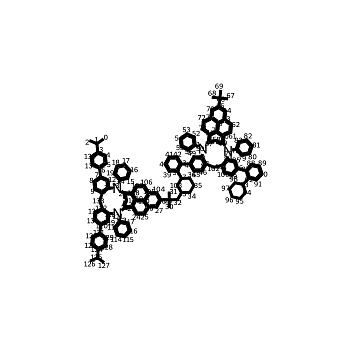 CC(C)c1ccc(-c2ccc3c(c2)N(c2ccccc2)c2cc(c4ccc5cc(C(C)(C)CC6CCCC(c7ccccc7-c7ccc8c(c7)N(c7ccccc7)c7cc(c9ccc%10cc(C(C)(C)C)cc%11ccc7c9c%10%11)N(c7ccccc7)c7cc(-c9ccccc9C9CCCCC9)ccc7C8)C6)cc6ccc2c4c65)N(c2ccccc2)c2cc(-c4ccc(C(C)C)cc4)ccc2C3)cc1